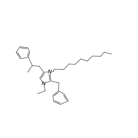 CCCCCCCCCC[n+]1c(CC(C)c2ccccc2)cn(CC)c1Cc1ccccc1